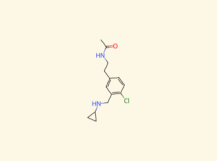 CC(=O)NCCc1ccc(Cl)c(CNC2CC2)c1